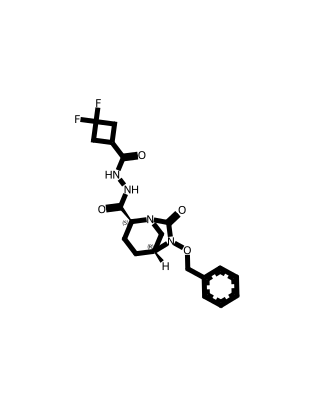 O=C(NNC(=O)[C@@H]1CC[C@@H]2CN1C(=O)N2OCc1ccccc1)C1CC(F)(F)C1